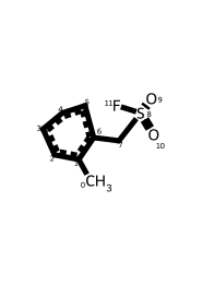 Cc1ccccc1CS(=O)(=O)F